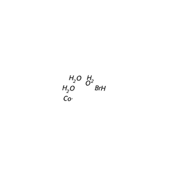 Br.O.O.O.[Co]